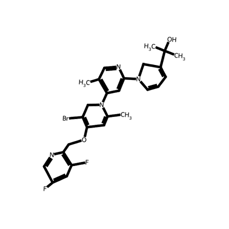 CC1=CC(OCc2ncc(F)cc2F)=C(Br)CN1c1cc(N2C=CC=C(C(C)(C)O)C2)ncc1C